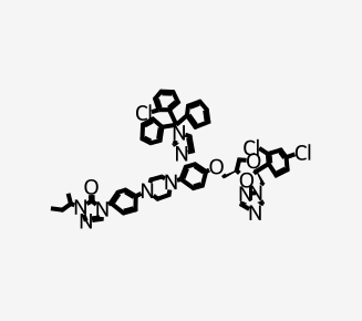 CCC(C)n1ncn(-c2ccc(N3CCN(c4ccc(OC[C@H]5CO[C@](Cn6cncn6)(c6ccc(Cl)cc6Cl)O5)cc4)CC3)cc2)c1=O.Clc1ccccc1C(c1ccccc1)(c1ccccc1)n1ccnc1